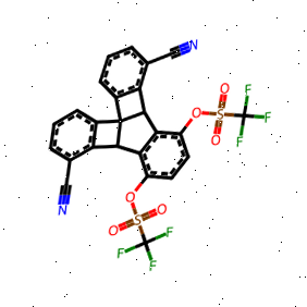 N#Cc1cccc2c1C1c3c(OS(=O)(=O)C(F)(F)F)ccc(OS(=O)(=O)C(F)(F)F)c3C3c4c(C#N)cccc4C213